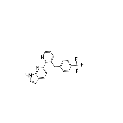 FC(F)(F)c1ccc(Cc2cccnc2-c2ccc3cc[nH]c3n2)cc1